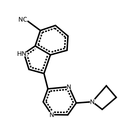 N#Cc1cccc2c(-c3cncc(N4CCC4)n3)c[nH]c12